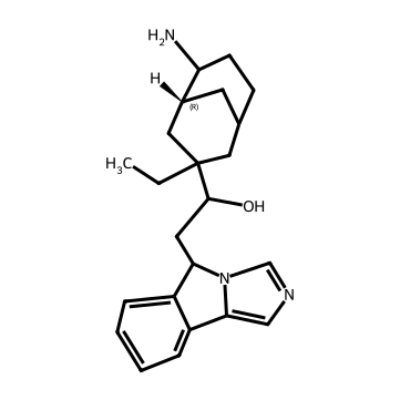 CCC1(C(O)CC2c3ccccc3-c3cncn32)CC2CCC(N)[C@H](C2)C1